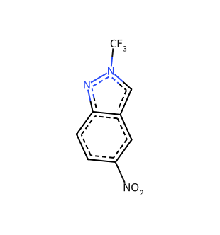 O=[N+]([O-])c1ccc2nn(C(F)(F)F)cc2c1